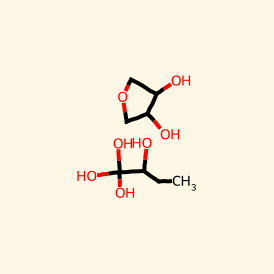 CCC(O)C(O)(O)O.OC1COCC1O